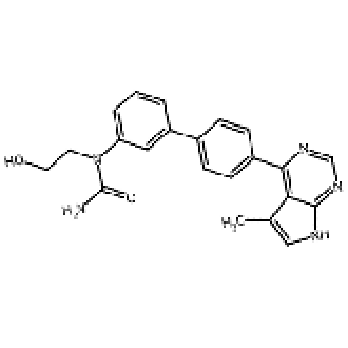 Cc1c[nH]c2ncnc(-c3ccc(-c4cccc(N(CCO)C(N)=O)c4)cc3)c12